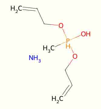 C=CCO[PH](C)(O)OCC=C.N